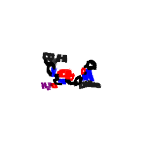 COc1cc(CC(=O)N2C[C@@H](OP)C[C@H]2C(=O)N2CCC(CC(=O)O)CC2)ccc1NC(=O)Nc1ccccc1C